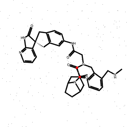 CNCc1ccccc1CN(CC(=O)Nc1ccc2c(c1)C[C@@]1(C2)C(=O)Nc2ncccc21)C(=O)C1(C)CC2CCC(C1)N2C(C)=O